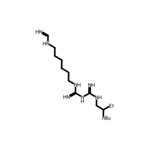 CCCCC(CC)CNC(=N)NC(=N)NCCCCCCNC=N